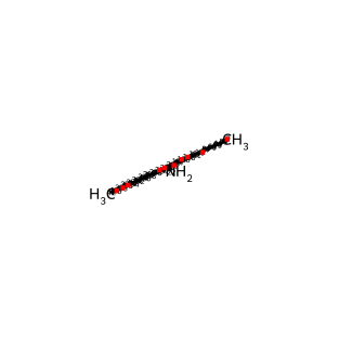 CCCCCCCCCCCCCCCCCCCCCC(N)CCCCCCCCCCCCCCCCCCCC